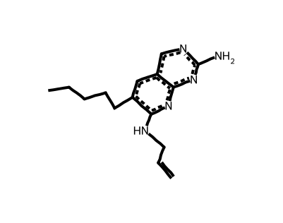 C=CCNc1nc2nc(N)ncc2cc1CCCCC